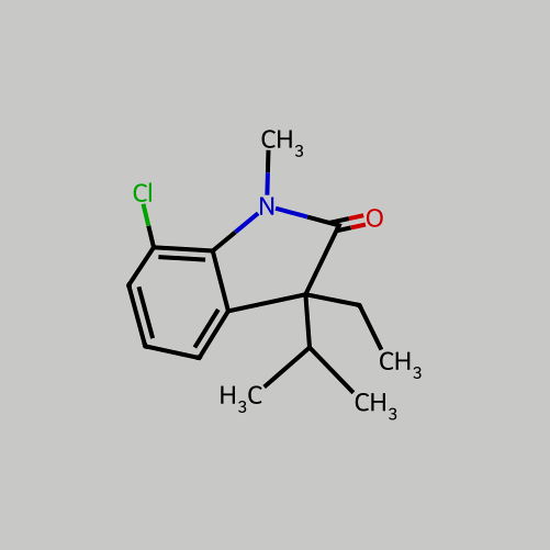 CCC1(C(C)C)C(=O)N(C)c2c(Cl)cccc21